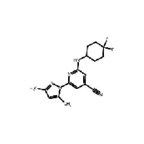 Cc1cc(C)n(-c2cc(C#N)cc(NC3CCC(F)(F)CC3)n2)n1